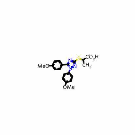 COc1ccc(-c2nc(SC(C)C(=O)O)nn2-c2ccc(OC)cc2)cc1